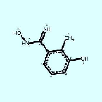 Cc1c(O)cccc1C(=N)NO